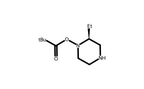 CC[C@H]1CNCCN1OC(=O)C(C)(C)C